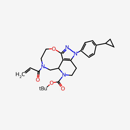 C=CC(=O)N1CCOc2nn(-c3ccc(C4CC4)cc3)c3c2C(C1)N(C(=O)OC(C)(C)C)CC3